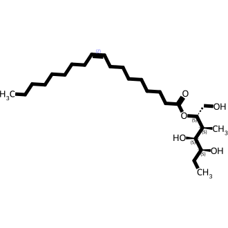 CCCCCCCC/C=C\CCCCCCCC(=O)O[C@H](CO)[C@@H](C)[C@H](O)[C@@H](O)CC